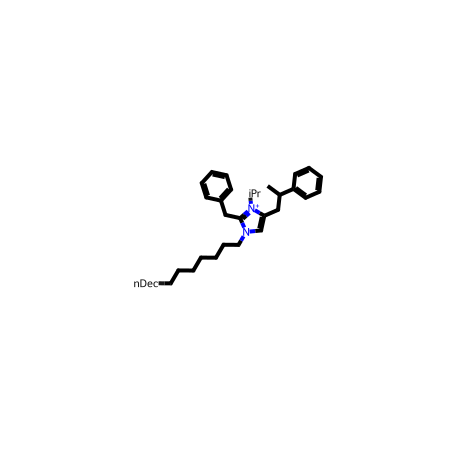 CCCCCCCCCCCCCCCCCn1cc(CC(C)c2ccccc2)[n+](C(C)C)c1Cc1ccccc1